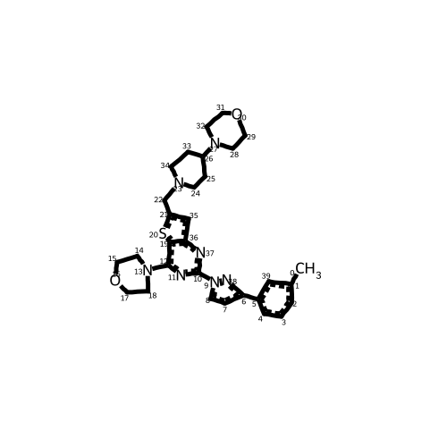 Cc1cccc(-c2ccn(-c3nc(N4CCOCC4)c4sc(CN5CCC(N6CCOCC6)CC5)cc4n3)n2)c1